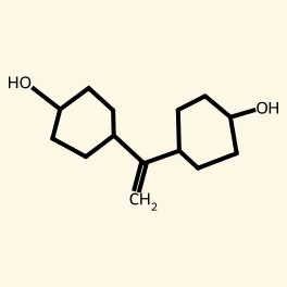 C=C(C1CCC(O)CC1)C1CCC(O)CC1